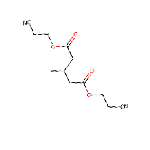 CC(CC(=O)OCCC#N)CC(=O)OCCC#N